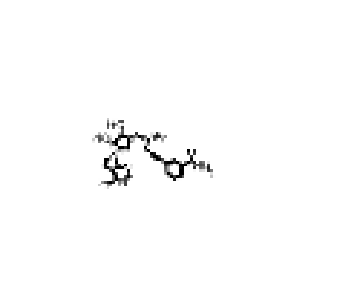 CCCN(CC#Cc1cccc(C(N)=O)c1)C[C@H]1C[C@@H](n2ccc3c(Cl)ncnc32)[C@H](O)[C@@H]1O